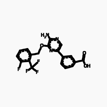 Nc1ncc(-c2cccc(C(=O)O)c2)nc1OCc1cccc(F)c1C(F)(F)F